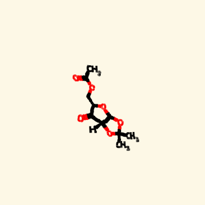 CC(=O)OC[C@H]1OC2OC(C)(C)O[C@@H]2C1=O